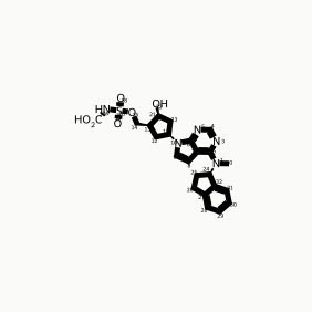 CN(c1ncnc2c1ccn2[C@@H]1C[C@@H](COS(=O)(=O)NC(=O)O)[C@@H](O)C1)[C@H]1CCc2ccccc21